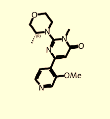 COc1cnccc1-c1cc(=O)n(C)c(N2CCOC[C@H]2C)n1